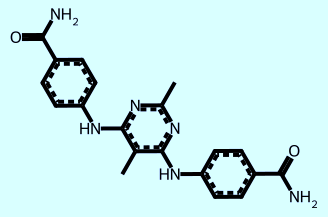 Cc1nc(Nc2ccc(C(N)=O)cc2)c(C)c(Nc2ccc(C(N)=O)cc2)n1